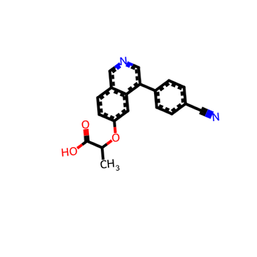 CC(Oc1ccc2cncc(-c3ccc(C#N)cc3)c2c1)C(=O)O